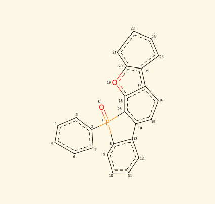 O=P1(c2ccccc2)c2ccccc2-c2ccc3c(oc4ccccc43)c21